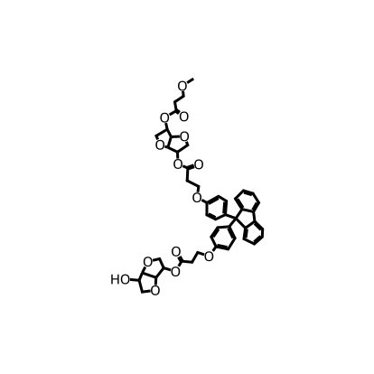 COCCC(=O)OC1COC2C(OC(=O)CCOc3ccc(C4(c5ccc(OCCC(=O)OC6COC7C(O)COC67)cc5)c5ccccc5-c5ccccc54)cc3)COC12